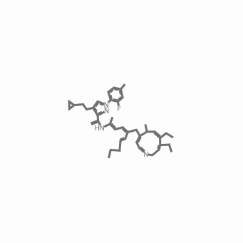 C=C(N/C(C)=C/C=C(\C=C\CCC)C/C1=C/C=N\C/C=C(CC)\C(CC)=C/C1C)c1nn(-c2ccc(C)cc2F)cc1CCC1CC1